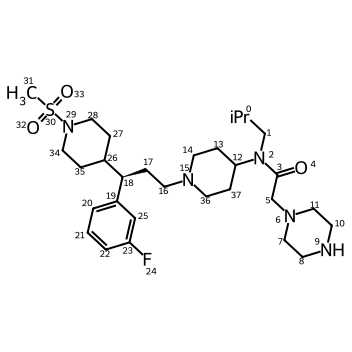 CC(C)CN(C(=O)CN1CCNCC1)C1CCN(CC[C@@H](c2cccc(F)c2)C2CCN(S(C)(=O)=O)CC2)CC1